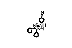 N#Cc1ccc(NC(=S)N[C@H](c2ccccc2)[C@H](N)c2ccccc2)cc1